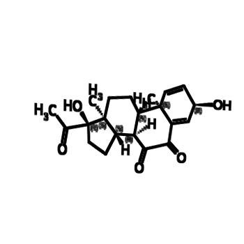 CC(=O)[C@@]1(O)CC[C@H]2[C@@H]3C(=O)C(=O)C4=C[C@H](O)C=C[C@]4(C)[C@H]3CC[C@@]21C